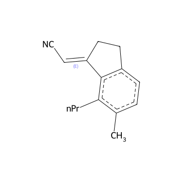 CCCc1c(C)ccc2c1/C(=C/C#N)CC2